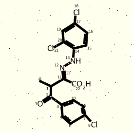 CC(C(=O)c1ccc(Cl)cc1)/C(=N/Nc1ccc(Cl)cc1Cl)C(=O)O